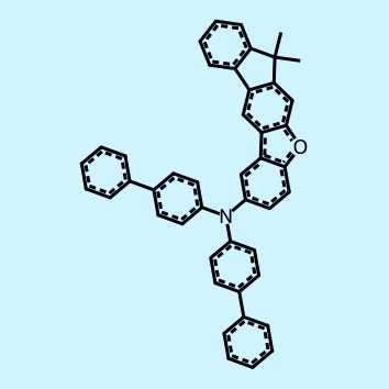 CC1(C)c2ccccc2-c2cc3c(cc21)oc1ccc(N(c2ccc(-c4ccccc4)cc2)c2ccc(-c4ccccc4)cc2)cc13